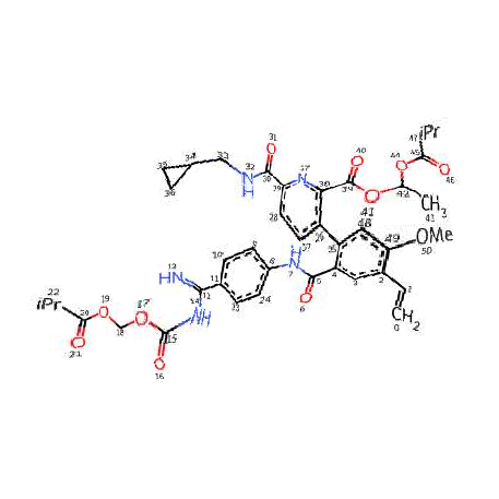 C=Cc1cc(C(=O)Nc2ccc(C(=N)NC(=O)OCOC(=O)C(C)C)cc2)c(-c2ccc(C(=O)NCC3CC3)nc2C(=O)OC(C)OC(=O)C(C)C)cc1OC